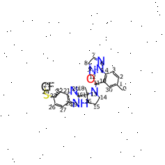 Cc1ccc(-n2nccn2)c(C(=O)N2CCCC2(C)c2nc3cc(SC(F)(F)F)ccc3[nH]2)c1